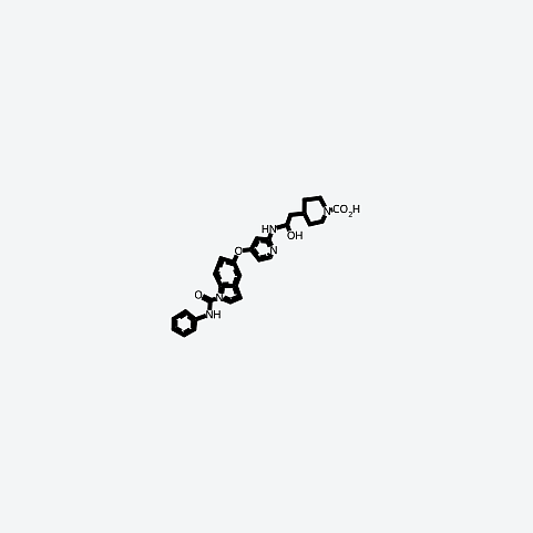 O=C(O)N1CCC(CC(O)Nc2cc(Oc3ccc4c(ccn4C(=O)Nc4ccccc4)c3)ccn2)CC1